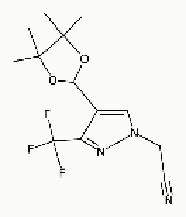 CC1(C)OC(c2cn(CC#N)nc2C(F)(F)F)OC1(C)C